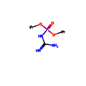 CC(C)OP(=O)(NC(=N)N)OC(C)C